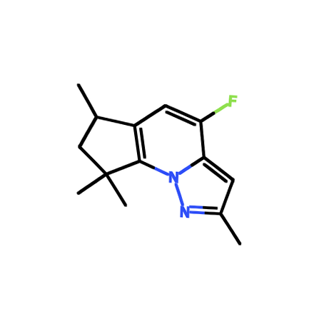 Cc1cc2c(F)cc3c(n2n1)C(C)(C)CC3C